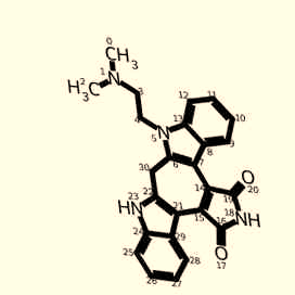 CN(C)CCn1c2c(c3ccccc31)C1=C(C(=O)NC1=O)c1c([nH]c3ccccc13)C2